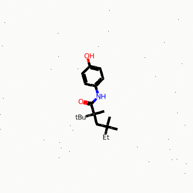 CCC(C)(C)CC(C)(C(=O)Nc1ccc(O)cc1)C(C)(C)C